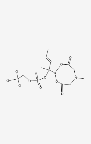 C/C=C/C(C)(OS(=O)(=O)OCC(Cl)(Cl)Cl)B1OC(=O)CN(C)CC(=O)O1